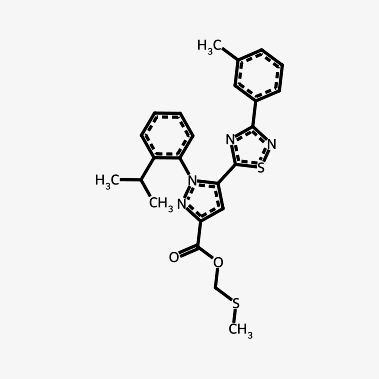 CSCOC(=O)c1cc(-c2nc(-c3cccc(C)c3)ns2)n(-c2ccccc2C(C)C)n1